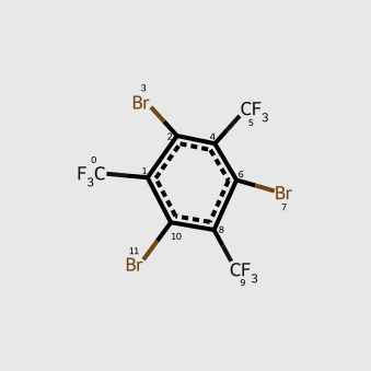 FC(F)(F)c1c(Br)c(C(F)(F)F)c(Br)c(C(F)(F)F)c1Br